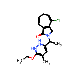 CC1=C(OCC(F)(F)F)NNC(C(C)N2CC3=C(C=CCC=C3Cl)C2=O)=C1